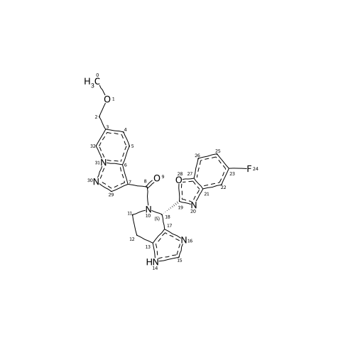 COCc1ccc2c(C(=O)N3CCc4[nH]cnc4[C@H]3c3nc4cc(F)ccc4o3)cnn2c1